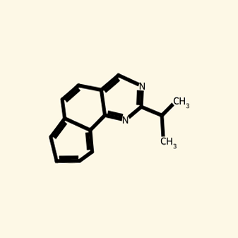 CC(C)c1ncc2ccc3ccccc3c2n1